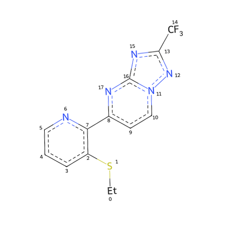 CCSc1cccnc1-c1ccn2nc(C(F)(F)F)nc2n1